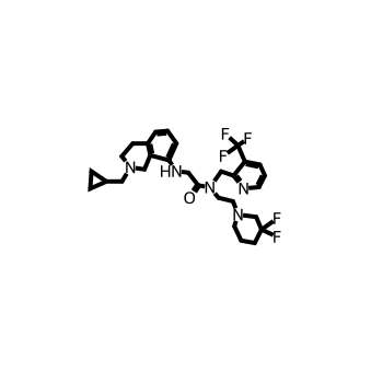 O=C(CNc1cccc2c1CN(CC1CC1)CC2)N(CCN1CCCC(F)(F)C1)Cc1ncccc1C(F)(F)F